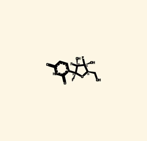 O=c1ccn([C@]2(F)O[C@H](CO)[C@](O)(F)[C@]2(O)F)c(=O)[nH]1